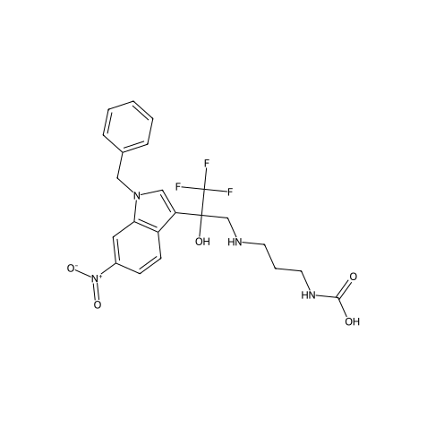 O=C(O)NCCCNCC(O)(c1cn(Cc2ccccc2)c2cc([N+](=O)[O-])ccc12)C(F)(F)F